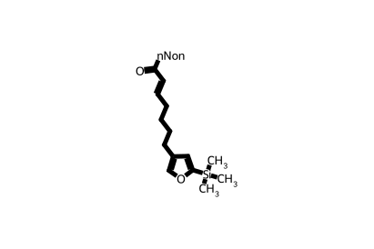 CCCCCCCCCC(=O)C=CCCCCc1coc([Si](C)(C)C)c1